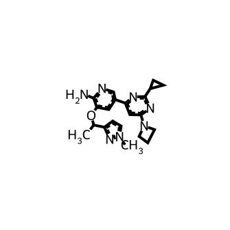 CC(Oc1cc(-c2cc(N3CCC3)nc(C3CC3)n2)cnc1N)c1ccn(C)n1